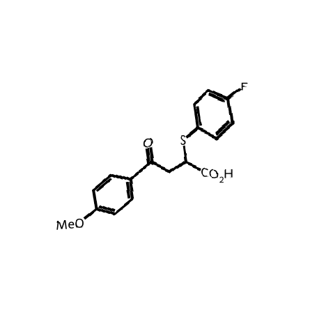 COc1ccc(C(=O)CC(Sc2ccc(F)cc2)C(=O)O)cc1